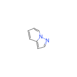 c1ccn2nccc2c1